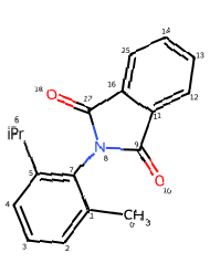 Cc1cccc(C(C)C)c1N1C(=O)c2ccccc2C1=O